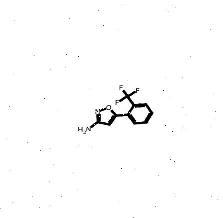 Nc1cc(-c2ccccc2C(F)(F)F)on1